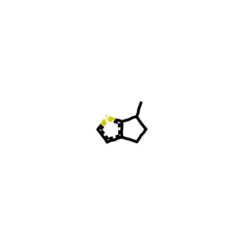 CC1CCc2ccsc21